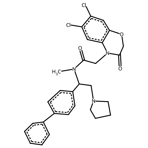 CN(C(=O)CN1C(=O)COc2cc(Cl)c(Cl)cc21)C(CN1CCCC1)c1ccc(-c2ccccc2)cc1